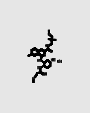 COCCC(=N)N[C@@H]1CCCC[C@@H]1Nc1nc(C(=O)NCC(C)(C)COC)nc2ccc(C)cc12.Cl.Cl